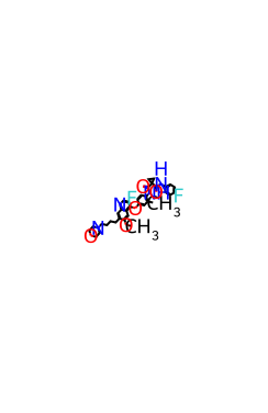 COc1cc2c(Oc3cc(C)c(NC(=O)C4(C(=O)Nc5ccc(F)cc5)CC4)cc3F)ccnc2cc1CCCCN1CCOCC1